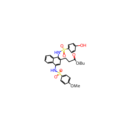 COc1ccc(S(=O)(=O)Nc2cc(CCC(=O)OCC(C)C)c(NS(=O)(=O)c3ccc(O)cc3)c3ccccc23)cc1